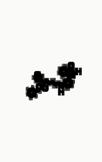 O=C(OCc1ccccc1)N(CCCCCNc1cccc(-c2n[nH]c(=O)c3ccccc23)c1)C1CCOC1